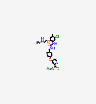 CNC(=O)c1cc(Oc2ccc(CNC(=O)Nc3cc(Cl)c(C)cc3OCCNC(C)C)cc2)ccn1